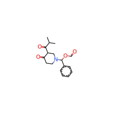 CC(C)C(=O)C1CN(C(OC=O)c2ccccc2)CCC1=O